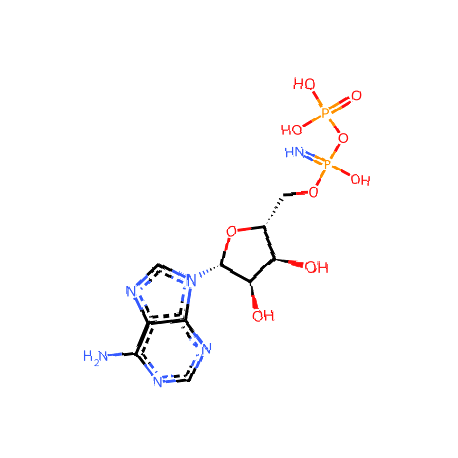 N=P(O)(OC[C@H]1O[C@@H](n2cnc3c(N)ncnc32)[C@H](O)[C@@H]1O)OP(=O)(O)O